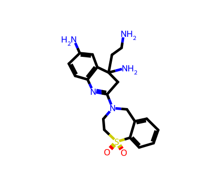 NCCC1(N)CC(N2CCS(=O)(=O)c3ccccc3C2)=Nc2ccc(N)cc21